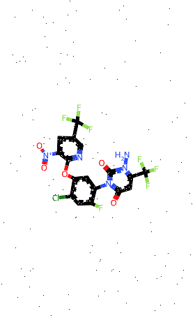 Nn1c(C(F)(F)F)cc(=O)n(-c2cc(Oc3ncc(C(F)(F)F)cc3[N+](=O)[O-])c(Cl)cc2F)c1=O